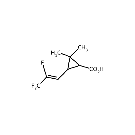 CC1(C)C(C=C(F)C(F)(F)F)C1C(=O)O